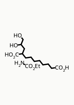 CCOC(N)=O.O=C(O)CCCCCCCC(CC(O)CO)C(=O)O